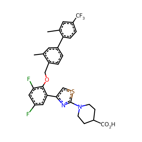 Cc1cc(-c2ccc(C(F)(F)F)cc2C)ccc1COc1c(F)cc(F)cc1-c1csc(N2CCC(C(=O)O)CC2)n1